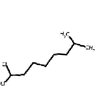 CC(C)CCCCCC(Cl)Cl